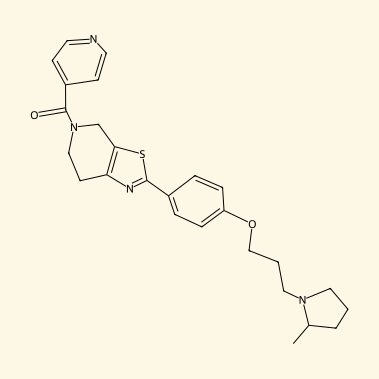 CC1CCCN1CCCOc1ccc(-c2nc3c(s2)CN(C(=O)c2ccncc2)CC3)cc1